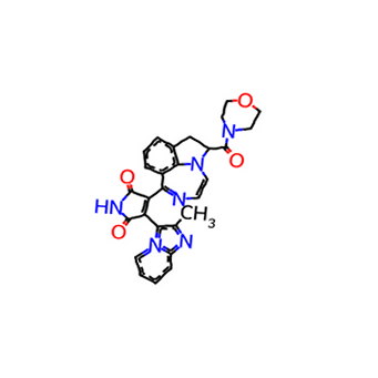 Cc1nc2ccccn2c1C1=C(C2=NC=CN3c4c(cccc42)CC3C(=O)N2CCOCC2)C(=O)NC1=O